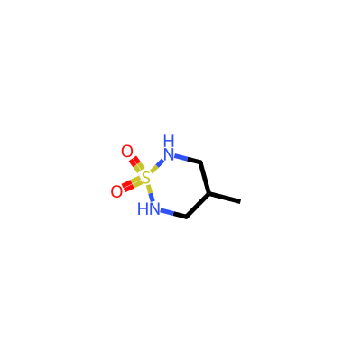 CC1CNS(=O)(=O)NC1